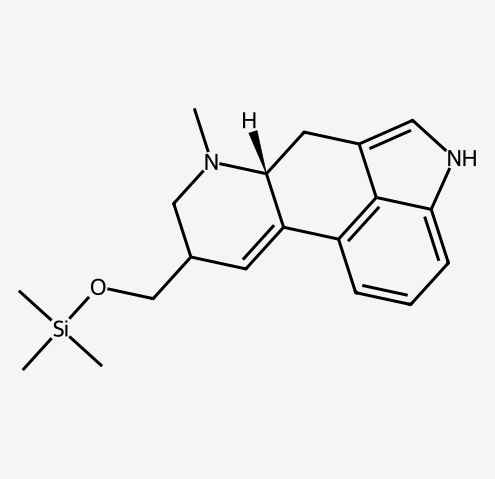 CN1CC(CO[Si](C)(C)C)C=C2c3cccc4[nH]cc(c34)C[C@H]21